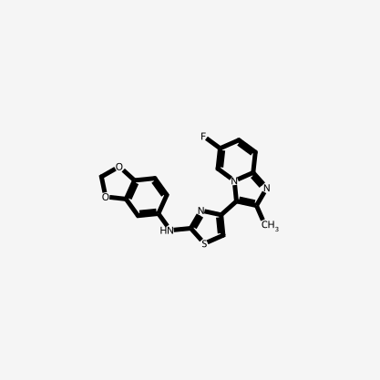 Cc1nc2ccc(F)cn2c1-c1csc(Nc2ccc3c(c2)OCO3)n1